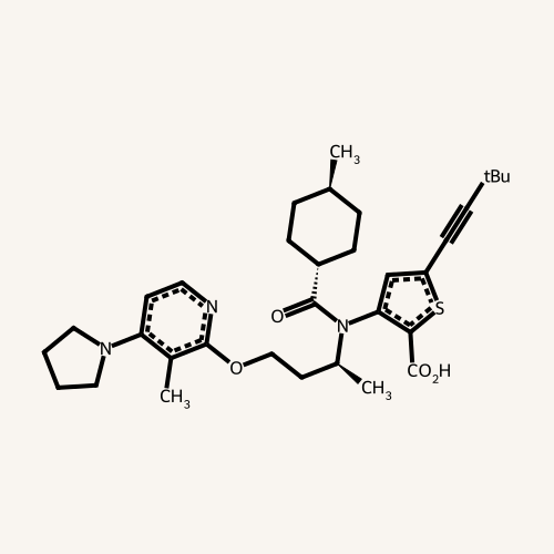 Cc1c(N2CCCC2)ccnc1OCC[C@H](C)N(c1cc(C#CC(C)(C)C)sc1C(=O)O)C(=O)[C@H]1CC[C@H](C)CC1